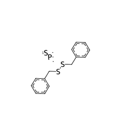 [P].[S].c1ccc(CSSCc2ccccc2)cc1